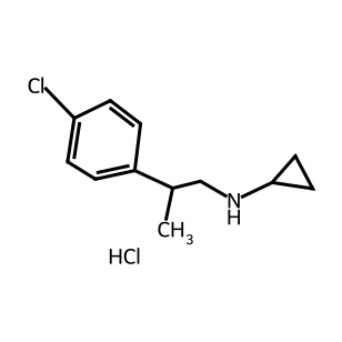 CC(CNC1CC1)c1ccc(Cl)cc1.Cl